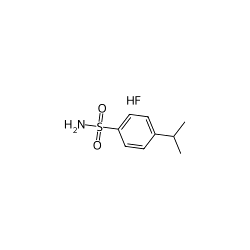 CC(C)c1ccc(S(N)(=O)=O)cc1.F